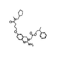 CC(COC(=O)CN1Cc2cc(OCCCC(=O)N(C)CC3CCCC3)ccc2N=C1N)c1ccccc1